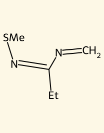 C=N/C(CC)=N\SC